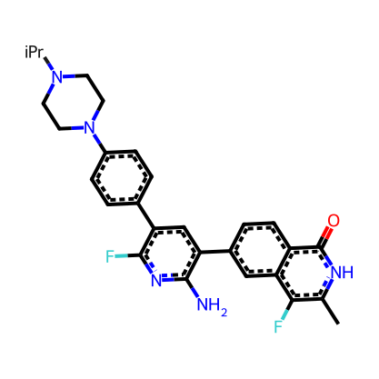 Cc1[nH]c(=O)c2ccc(-c3cc(-c4ccc(N5CCN(C(C)C)CC5)cc4)c(F)nc3N)cc2c1F